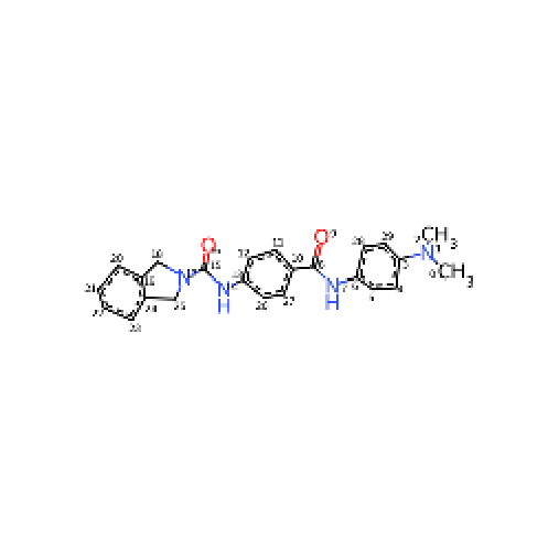 CN(C)c1ccc(NC(=O)c2ccc(NC(=O)N3Cc4ccccc4C3)cc2)cc1